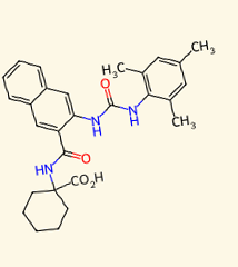 Cc1cc(C)c(NC(=O)Nc2cc3ccccc3cc2C(=O)NC2(C(=O)O)CCCCC2)c(C)c1